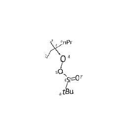 CCCC(C)(C)OO[Si](=O)C(C)(C)C